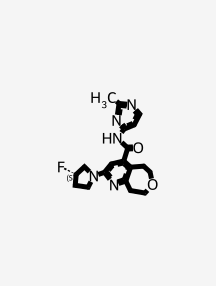 Cc1nccc(NC(=O)c2cc(N3CC[C@H](F)C3)nc3c2CCOCC3)n1